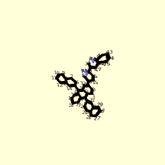 C1=CC2C(=C(c3ccc4ccccc4c3)c3ccccc3C2c2ccc3ccccc3c2)C=C1c1ccc(-c2cnc3ccccc3c2)nc1